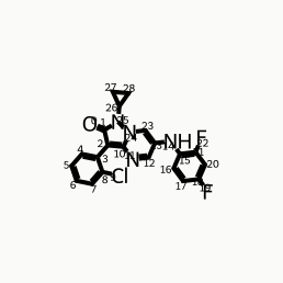 O=c1c(-c2ccccc2Cl)c2ncc(Nc3ccc(F)cc3F)cn2n1C1CC1